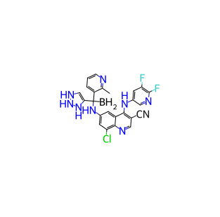 BC(Nc1cc(Cl)c2ncc(C#N)c(Nc3cnc(F)c(F)c3)c2c1)(C1=CNNN1)c1cccnc1C